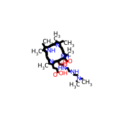 C=Cc1c(C)c2cc3nc(c(CC(=O)NCCNCCN(CC)CC)c4[nH]c(cc5nc(cc1[nH]2)C(C)=C5CC)c(C)c4C(=O)O)C(CCC(=O)O)C3C